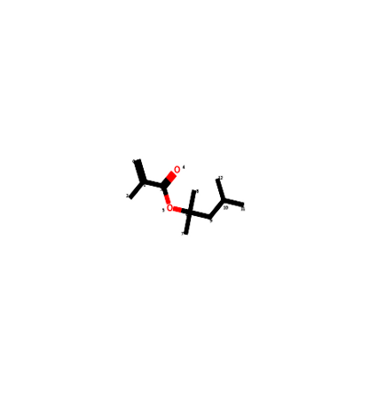 C=C(C)C(=O)OC(C)(C)C[C](C)C